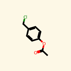 CC(=O)Oc1ccc(CCl)cc1